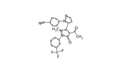 CC(=O)c1c(-c2ccnn2-c2ccc(C#N)cc2)n(C)n(-c2cccc(C(F)(F)F)c2)c1=O